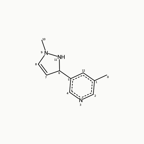 Cc1cncc(C2C=CN(C)N2)c1